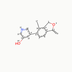 C=C1OCc2c1ccc(-c1cncc(O)c1)c2C